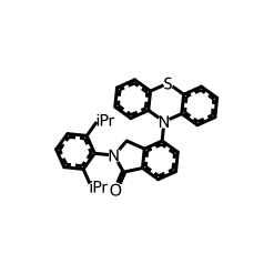 CC(C)c1cccc(C(C)C)c1N1Cc2c(cccc2N2c3ccccc3Sc3ccccc32)C1=O